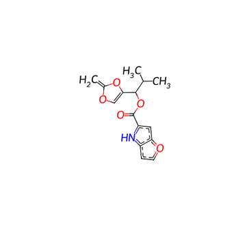 C=C1OC=C(C(OC(=O)c2cc3occc3[nH]2)C(C)C)O1